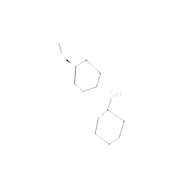 IN[C@H]1CC[C@H](NC2CCCCC2)CC1